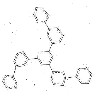 C1=C(c2cccc(-c3cccnc3)c2)C=C(c2cccc(-c3cccnc3)c2)CC1c1cccc(-c2cccnc2)c1